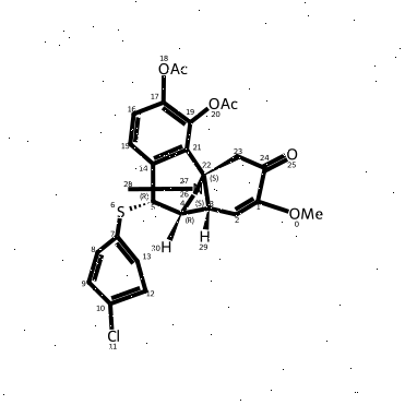 COC1=C[C@@H]2[C@@H]3[C@H](Sc4ccc(Cl)cc4)c4ccc(OC(C)=O)c(OC(C)=O)c4[C@@]2(CC1=O)CN3C